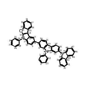 c1ccc(-n2c3cc(-c4ccc5c(c4)c4c6ccccc6oc4n5-c4ccccc4)ccc3c3ccc(-n4c5ccccc5c5ccccc54)cc32)cc1